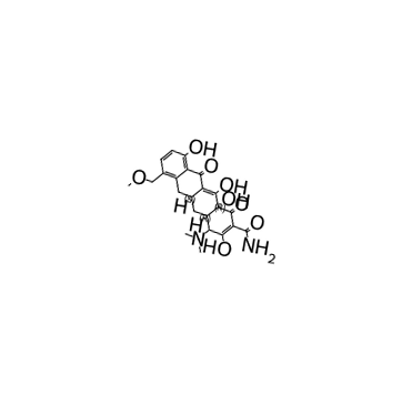 COCc1ccc(O)c2c1C[C@@H]1C[C@@H]3C(N(C)C)C(O)=C(C(N)=O)C(=O)[C@]3(O)C(O)=C1C2=O